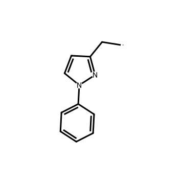 [CH2]Cc1ccn(-c2ccccc2)n1